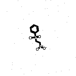 O=[N+]([O-])CCP(=O)(Cl)c1ccccc1